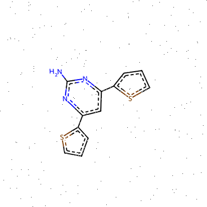 Nc1nc(-c2cccs2)cc(-c2cccs2)n1